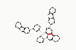 c1cc(-c2ccc3c(c2)oc2ccccc23)cc(N(c2cccc(-c3ccc4sc5ccccc5c4c3)c2)c2ccccc2-c2ccc3ccccc3c2)c1